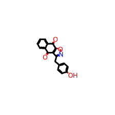 O=C1c2ccccc2C(=O)c2c(Cc3ccc(O)cc3)noc21